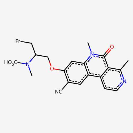 Cc1nccc2c1c(=O)n(C)c1cc(OCC(CC(C)C)N(C)C(=O)O)c(C#N)cc21